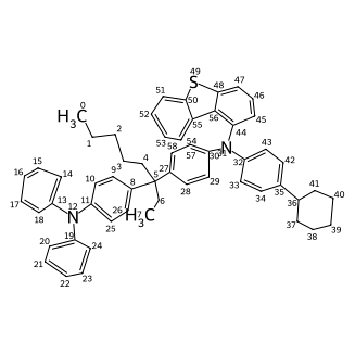 CCCCCC(CC)(c1ccc(N(c2ccccc2)c2ccccc2)cc1)c1ccc(N(c2ccc(C3CCCCC3)cc2)c2cccc3sc4ccccc4c23)cc1